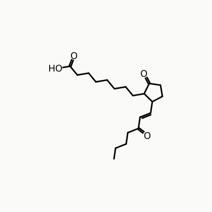 CCCCC(=O)C=CC1CCC(=O)C1CCCCCCCC(=O)O